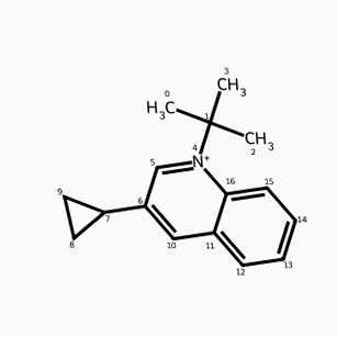 CC(C)(C)[n+]1cc(C2CC2)cc2ccccc21